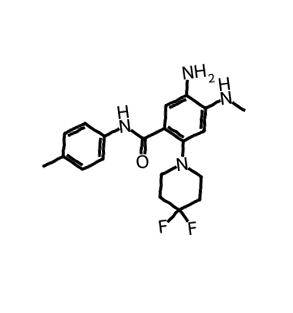 CNc1cc(N2CCC(F)(F)CC2)c(C(=O)Nc2ccc(C)cc2)cc1N